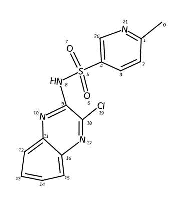 Cc1ccc(S(=O)(=O)Nc2nc3ccccc3nc2Cl)cn1